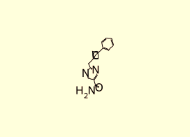 NC(=O)c1cnc(CC23CC(c4ccccc4)(C2)C3)nc1